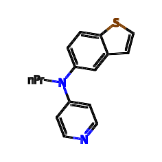 CCCN(c1ccncc1)c1ccc2sccc2c1